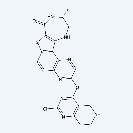 C[C@@H]1CNc2c(sc3ccc4nc(Oc5nc(Cl)nc6c5CNCC6)cnc4c23)C(=O)N1